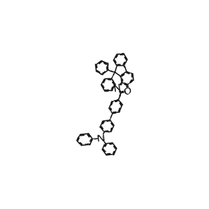 c1ccc(N(c2ccccc2)c2ccc(-c3ccc(-c4nc5c6c(ccc5o4)-c4ccccc4C6(c4ccccc4)c4ccccc4)cc3)cc2)cc1